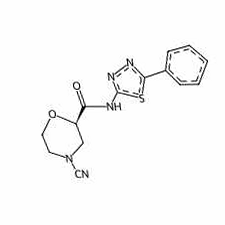 N#CN1CCO[C@@H](C(=O)Nc2nnc(-c3ccccc3)s2)C1